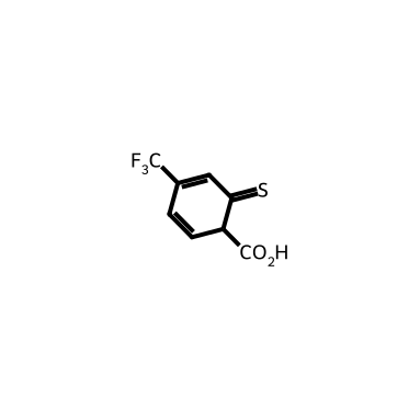 O=C(O)C1C=CC(C(F)(F)F)=CC1=S